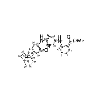 COC(=O)c1cccnc1Nc1ccc(Nc2ccc(C34CC5CC(CC(C5)C3)C4)cc2Cl)nc1